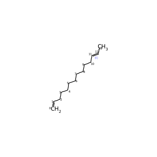 C=CCCCCCCCCC/C=C/C